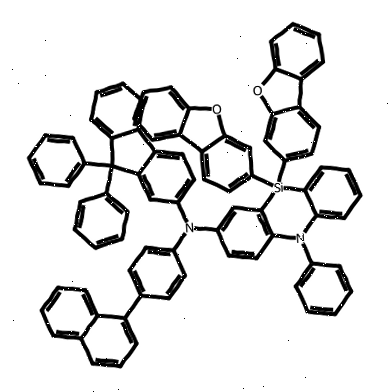 c1ccc(N2c3ccccc3[Si](c3ccc4c(c3)oc3ccccc34)(c3ccc4c(c3)oc3ccccc34)c3cc(N(c4ccc(-c5cccc6ccccc56)cc4)c4ccc5c(c4)C(c4ccccc4)(c4ccccc4)c4ccccc4-5)ccc32)cc1